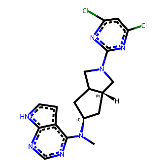 CN(c1ncnc2[nH]ccc12)[C@H]1CC2CN(c3nc(Cl)cc(Cl)n3)C[C@@H]2C1